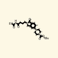 CCC(=O)NC(=O)CCCN1Cc2cc(N3CCN(C(=O)OC(C)(C)C)CC3)ccc2C1=O